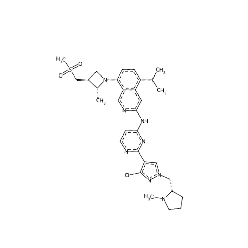 CC(C)c1ccc(N2C[C@H](CS(C)(=O)=O)[C@H]2C)c2cnc(Nc3ccnc(-c4cn(C[C@@H]5CCCN5C)nc4Cl)n3)cc12